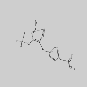 CC(=O)c1ccc(Oc2ccc(Br)cc2OC(F)(F)F)cc1